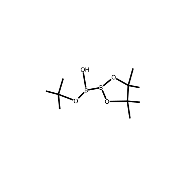 CC(C)(C)OB(O)B1OC(C)(C)C(C)(C)O1